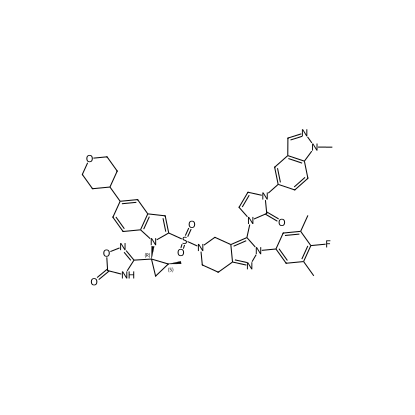 Cc1cc(-n2nc3c(c2-n2ccn(-c4ccc5c(cnn5C)c4)c2=O)CN(S(=O)(=O)c2cc4cc(C5CCOCC5)ccc4n2[C@]2(c4noc(=O)[nH]4)C[C@@H]2C)CC3)cc(C)c1F